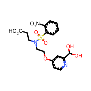 O=C(O)CCN(CCOc1ccnc(C(O)O)c1)S(=O)(=O)c1ccccc1[N+](=O)[O-]